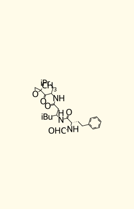 CCC(C)C(CC(=O)NC(CC(C)C)C(=O)C1(C)CO1)NC(=O)[C@H](CCc1ccccc1)NC=O